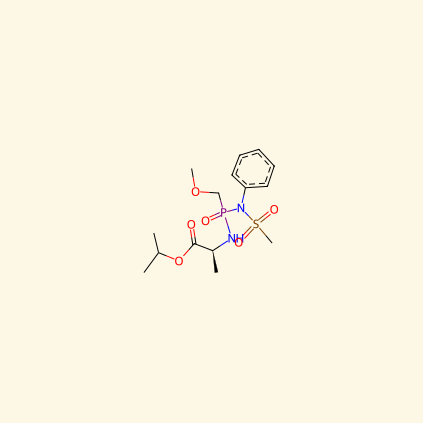 COCP(=O)(N[C@@H](C)C(=O)OC(C)C)N(c1ccccc1)S(C)(=O)=O